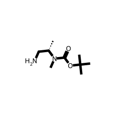 C[C@@H](CN)N(C)C(=O)OC(C)(C)C